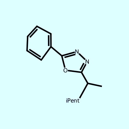 CCCC(C)C(C)c1nnc(-c2ccccc2)o1